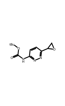 CC(C)(C)OC(=O)Nc1ccc(C2CO2)nn1